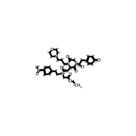 CCOC(=O)CN(CCc1ccc([N+](=O)[O-])cc1)C(=O)CC1C(=O)N(C(Cl)Cc2ccc(Cl)cc2)CC(=O)N1CCCN1CCOCC1